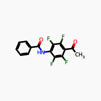 CC(=O)c1c(F)c(F)c(NC(=O)c2ccccc2)c(F)c1F